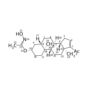 CC(=O)C1=CC[C@H]2[C@@H]3CC[C@H]4C[C@@H](OC(C)=NO)CC[C@]4(C)[C@H]3CC[C@]12C